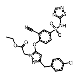 CCOC(=O)Cn1nc(Cc2ccc(Cl)cc2)cc1Oc1ccc(S(=O)(=O)Nc2ncns2)cc1C#N